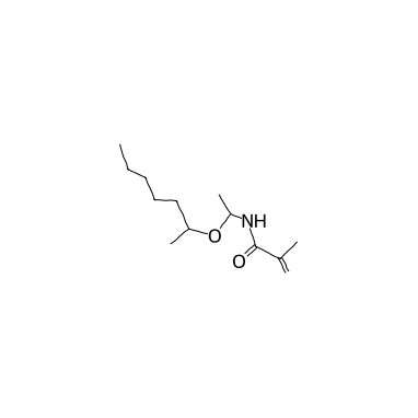 C=C(C)C(=O)NC(C)OC(C)CCCCC